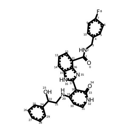 O=C(NCc1ccc(F)cc1)c1cccc2[nH]c(-c3c(NCC(O)c4ccccc4)cc[nH]c3=O)nc12